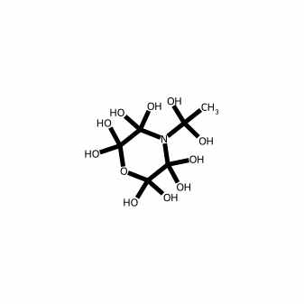 CC(O)(O)N1C(O)(O)C(O)(O)OC(O)(O)C1(O)O